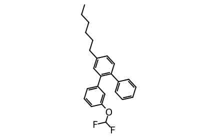 CCCCCCc1ccc(-c2ccccc2)c(-c2cccc(OC(F)F)c2)c1